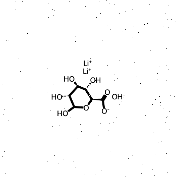 O=C([O-])[C@H]1OC(O)[C@H](O)[C@@H](O)[C@@H]1O.[Li+].[Li+].[OH-]